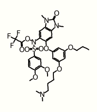 CCCOc1cc(OCCCCN(C)C)cc(Oc2cc3c(cc2N(OC(=O)C(F)(F)F)S(=O)(=O)c2ccc(OC)c(OC)c2)n(C)c(=O)n3C)c1